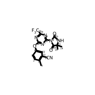 Cc1ccc(Oc2nc(N3C(=O)NC(C)(C)C3=O)nc(C(F)(F)F)n2)cc1C#N